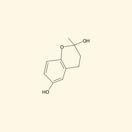 CC1(O)CCc2cc(O)ccc2O1